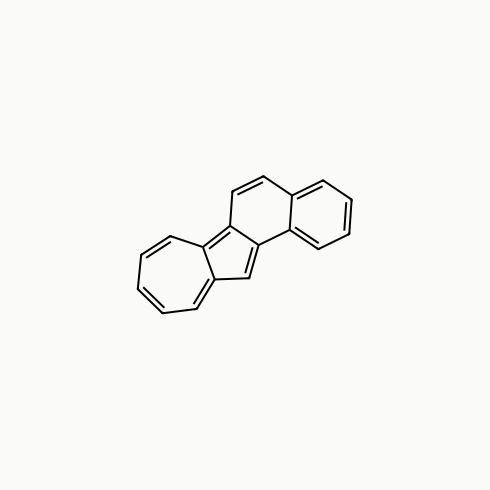 c1ccc2cc3c(ccc4ccccc43)c-2cc1